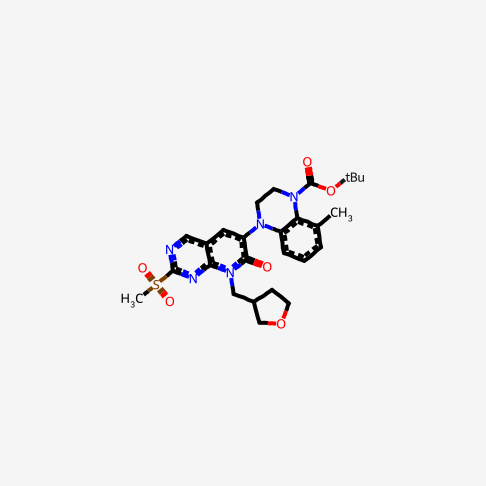 Cc1cccc2c1N(C(=O)OC(C)(C)C)CCN2c1cc2cnc(S(C)(=O)=O)nc2n(CC2CCOC2)c1=O